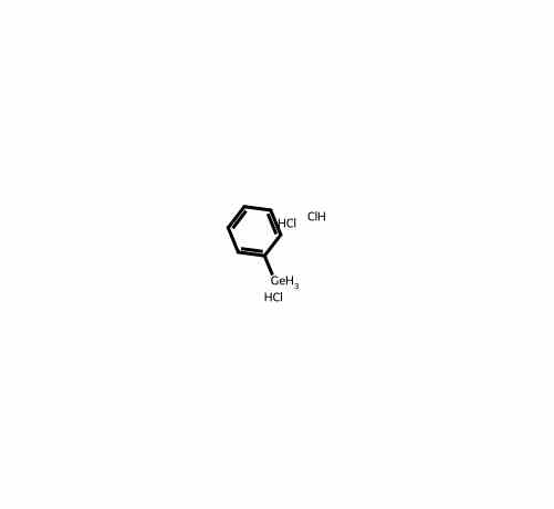 Cl.Cl.Cl.[GeH3][c]1ccccc1